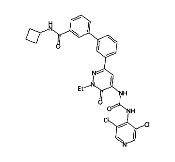 CCn1nc(-c2cccc(-c3cccc(C(=O)NC4CCC4)c3)c2)cc(NC(=O)Nc2c(Cl)cncc2Cl)c1=O